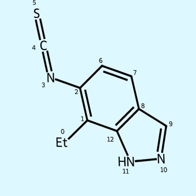 CCc1c(N=C=S)ccc2cn[nH]c12